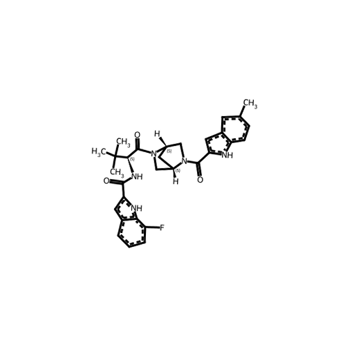 Cc1ccc2[nH]c(C(=O)N3C[C@@H]4C[C@H]3CN4C(=O)[C@@H](NC(=O)c3cc4cccc(F)c4[nH]3)C(C)(C)C)cc2c1